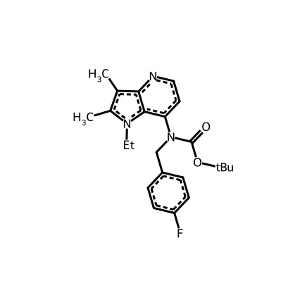 CCn1c(C)c(C)c2nccc(N(Cc3ccc(F)cc3)C(=O)OC(C)(C)C)c21